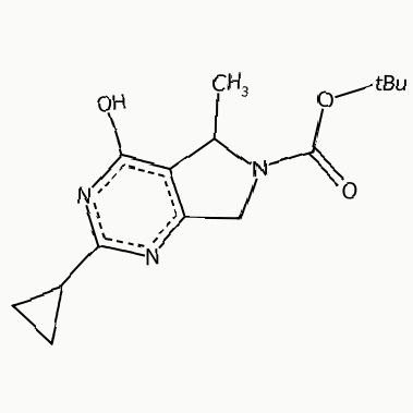 CC1c2c(O)nc(C3CC3)nc2CN1C(=O)OC(C)(C)C